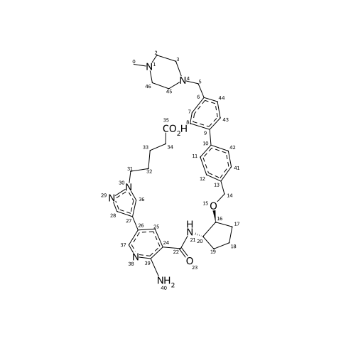 CN1CCN(Cc2ccc(-c3ccc(CO[C@H]4CCC[C@@H]4NC(=O)c4cc(-c5cnn(CCCCC(=O)O)c5)cnc4N)cc3)cc2)CC1